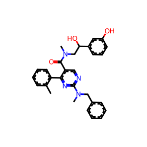 Cc1ccccc1-c1nc(N(C)Cc2ccccc2)ncc1C(=O)N(C)CC(O)c1cccc(O)c1